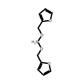 c1coc(CO[SiH2]OCc2ccco2)c1